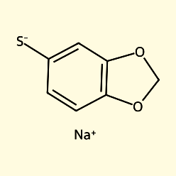 [Na+].[S-]c1ccc2c(c1)OCO2